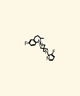 CC1CCc2cc(F)ccc2N1N1CC2(CN(c3ncccc3F)C2)C1